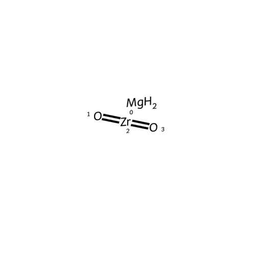 [MgH2].[O]=[Zr]=[O]